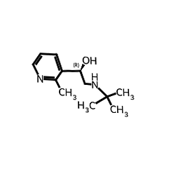 Cc1ncccc1[C@@H](O)CNC(C)(C)C